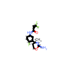 C[C@@]1(c2cc(NC(=O)C3CC3(F)F)ccc2F)CCOC(N)=N1